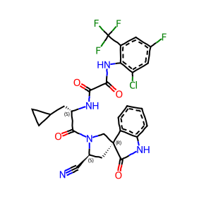 N#C[C@@H]1C[C@@]2(CN1C(=O)[C@H](CC1CC1)NC(=O)C(=O)Nc1c(Cl)cc(F)cc1C(F)(F)F)C(=O)Nc1ccccc12